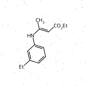 CCOC(=O)C=C(C)Nc1cccc(CC)c1